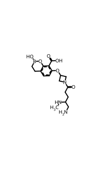 CNC(CN)CCC(=O)N1CC(Oc2ccc3c(c2C(=O)O)OB(O)CC3)C1